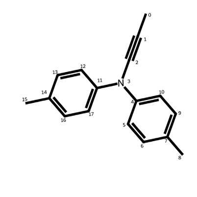 CC#CN(c1ccc(C)cc1)c1ccc(C)cc1